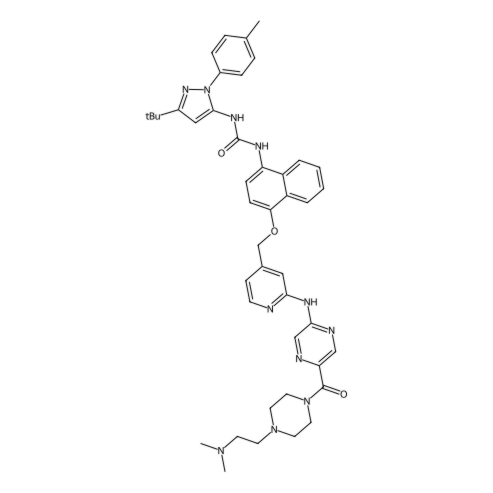 Cc1ccc(-n2nc(C(C)(C)C)cc2NC(=O)Nc2ccc(OCc3ccnc(Nc4cnc(C(=O)N5CCN(CCN(C)C)CC5)cn4)c3)c3ccccc23)cc1